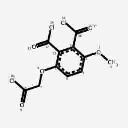 COc1ccc(OCC(=O)Cl)c(C(=O)Cl)c1C(=O)Cl